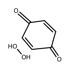 O=C1C=CC(=O)C=C1.OO